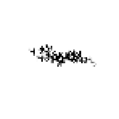 CN1CC[C@H]1[C@H](O)c1cc2ccc(-c3cnc4nn(C)cc4c3)nc2s1